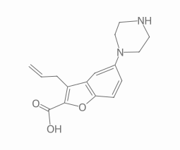 C=CCc1c(C(=O)O)oc2ccc(N3CCNCC3)cc12